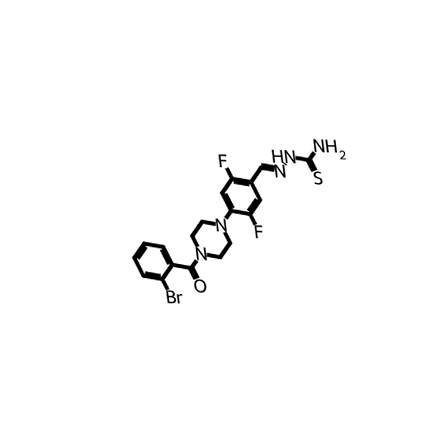 NC(=S)NN=Cc1cc(F)c(N2CCN(C(=O)c3ccccc3Br)CC2)cc1F